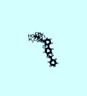 CC(C)(O)C(C)(C)OBc1cccc2c1oc1cc3nc(-c4ccccc4)sc3cc12